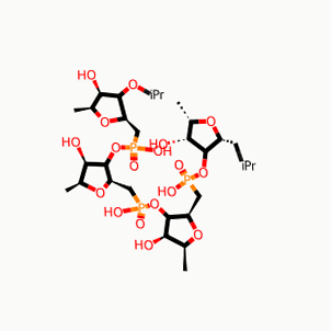 CC(C)C[C@H]1O[C@@H](C)[C@@H](O)C1OP(=O)(O)C[C@H]1O[C@@H](C)[C@@H](O)C1OP(=O)(O)C[C@H]1O[C@@H](C)[C@@H](O)C1OP(=O)(O)C[C@H]1O[C@@H](C)[C@@H](O)C1OC(C)C